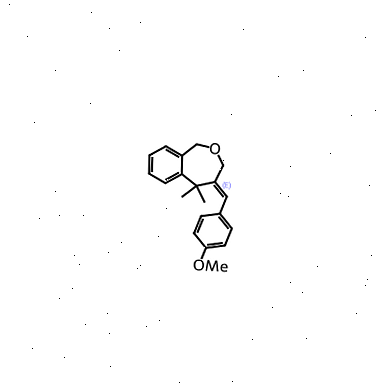 COc1ccc(/C=C2/COCc3ccccc3C2(C)C)cc1